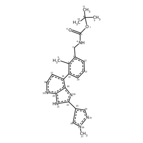 Cc1c(CNC(=O)OC(C)(C)C)cccc1-c1ccnc2[nH]c(-c3cnn(C)c3)nc12